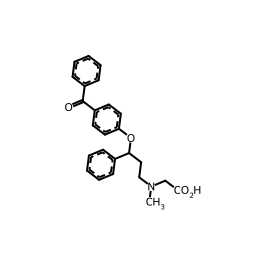 CN(CCC(Oc1ccc(C(=O)c2ccccc2)cc1)c1ccccc1)CC(=O)O